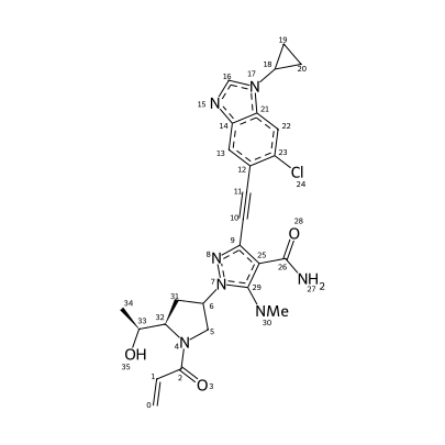 C=CC(=O)N1CC(n2nc(C#Cc3cc4ncn(C5CC5)c4cc3Cl)c(C(N)=O)c2NC)C[C@@H]1[C@H](C)O